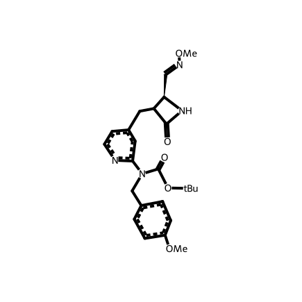 CON=C[C@H]1NC(=O)C1Cc1ccnc(N(Cc2ccc(OC)cc2)C(=O)OC(C)(C)C)c1